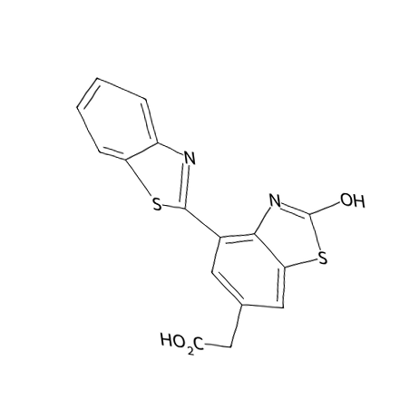 O=C(O)Cc1cc(-c2nc3ccccc3s2)c2nc(O)sc2c1